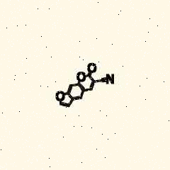 N#Cc1cc2cc3ccoc3cc2oc1=O